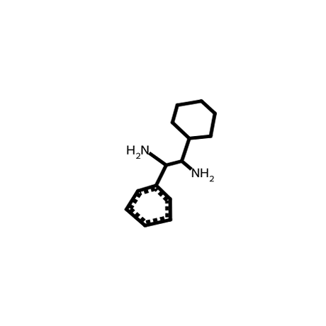 NC(c1ccccc1)C(N)C1CCCCC1